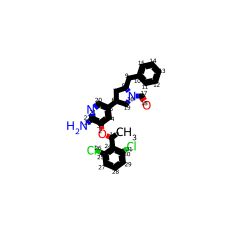 CC(Oc1cc(C2CC(Cc3ccccc3)N(C=O)C2)cnc1N)c1c(Cl)cccc1Cl